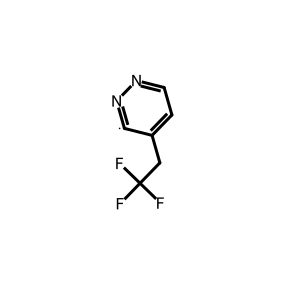 FC(F)(F)Cc1[c]nncc1